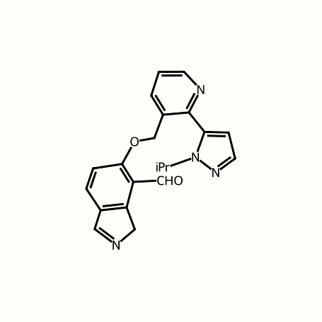 CC(C)n1nccc1-c1ncccc1COc1ccc2c(c1C=O)CN=C2